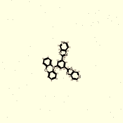 c1ccc2c(c1)Oc1ccccc1N2c1cc(-c2nc3ccncc3s2)cc(-c2nc3ccncc3s2)c1